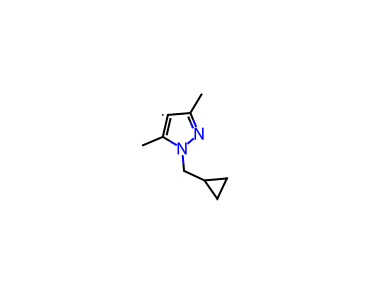 Cc1[c]c(C)n(CC2CC2)n1